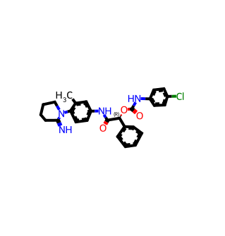 Cc1cc(NC(=O)[C@H](OC(=O)Nc2ccc(Cl)cc2)c2ccccc2)ccc1N1CCCCC1=N